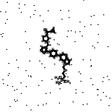 C[Si](C)(C)CCOCn1ccc2ncc(-c3ccc(-c4nncn4C[C@H]4CCN(C(=O)C5CC5)C4)cc3)cc21